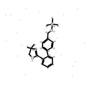 CC1(C)COC(c2ccccc2-c2ccc(CO[Si](C)(C)C)cc2)=N1